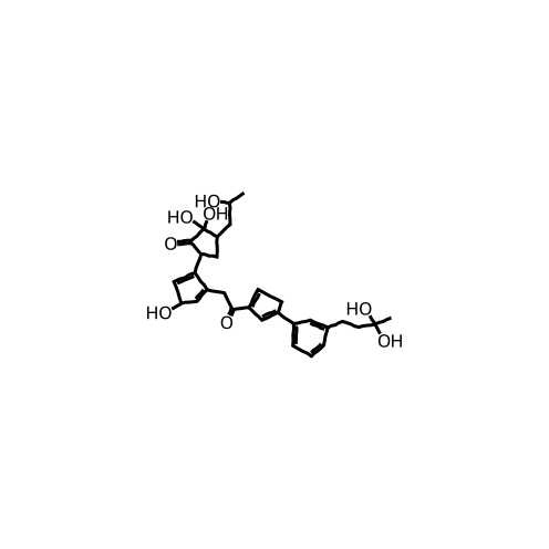 CC(O)CC1CC(C2=CC(O)C=C2CC(=O)C2=CCC(c3cccc(CCC(C)(O)O)c3)=C2)C(=O)C1(O)O